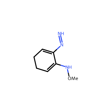 CONC1=CCCC=C1N=N